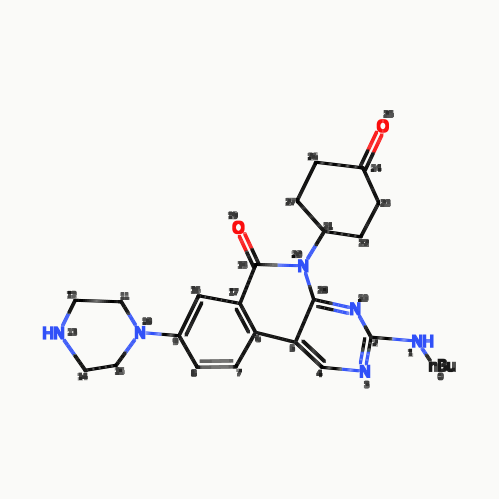 CCCCNc1ncc2c3ccc(N4CCNCC4)cc3c(=O)n(C3CCC(=O)CC3)c2n1